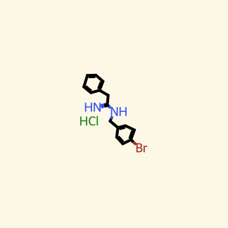 Cl.N=C(Cc1ccccc1)NCc1ccc(Br)cc1